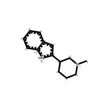 CN1CCCC(c2cc3ccccc3[nH]2)C1